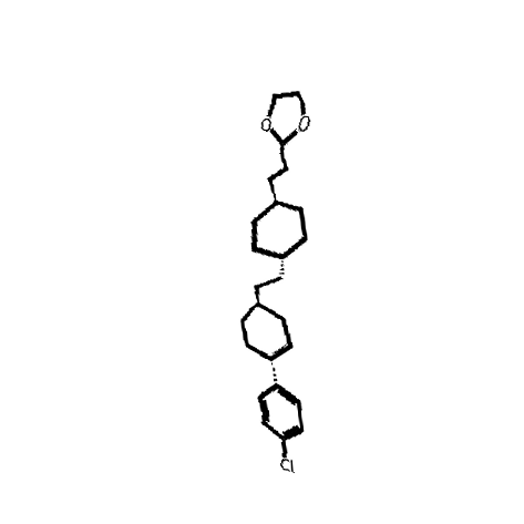 Clc1ccc([C@H]2CC[C@H](CC[C@H]3CC[C@H](CCC4OCCO4)CC3)CC2)cc1